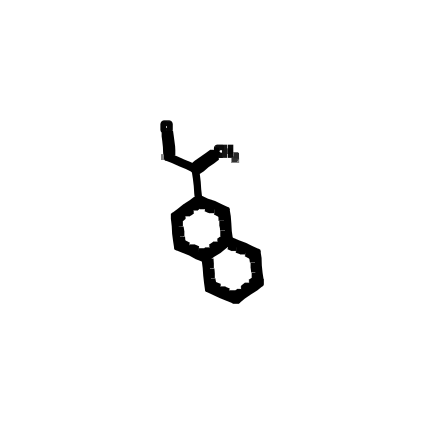 C=C([C]=O)c1ccc2ccccc2c1